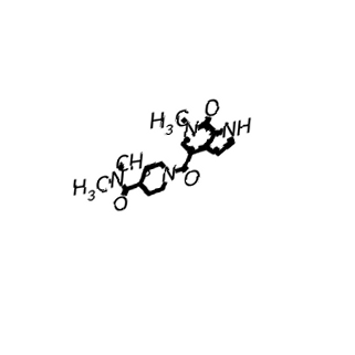 CN(C)C(=O)C1CCN(C(=O)c2cn(C)c(=O)c3[nH]ccc23)CC1